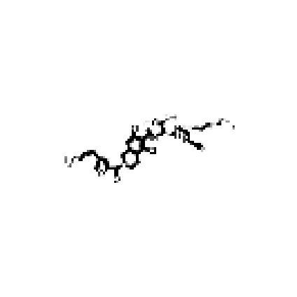 C=C/C=C\c1coc(C(=O)N2CCc3c(cc(Cl)c(C(=O)N[C@@H](CNC(=NC#N)NCCOC)C(=O)O)c3Cl)C2)c1